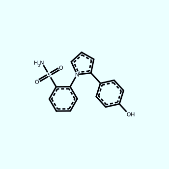 NS(=O)(=O)c1ccccc1-n1cccc1-c1ccc(O)cc1